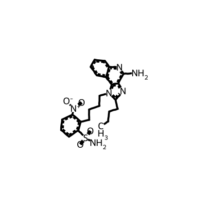 CCCCc1nc2c(N)nc3ccccc3c2n1CCCCc1c([N+](=O)[O-])cccc1S(N)(=O)=O